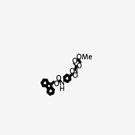 CO[C@H]1CO[C@@H]([C@H]2COC(c3ccc(NC(=O)OCC4c5ccccc5-c5ccccc54)cc3)O2)CO1